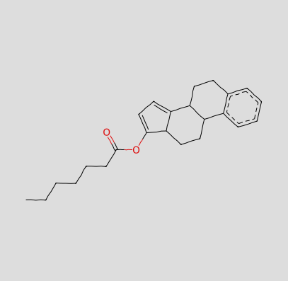 CCCCCCC(=O)OC1=CC=C2C1CCC1c3ccccc3CCC21